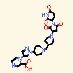 O=C1CCC(N2C(=O)C=C(N3CCC(CN4CCC(n5cc(N6C=CN=CC6C(=O)O)cn5)CC4)CC3)C2=O)C(=O)N1